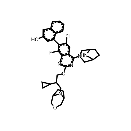 Oc1cc(-c2c(Cl)cc3c(N4CC5CCC(C4)N5)nc(OCC(CN4C5CCC4COC5)C4CC4)nc3c2F)c2ccccc2c1